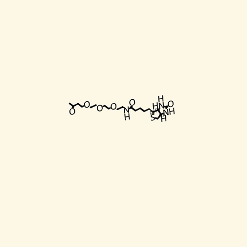 CC(=O)CCOCCOCCOCCNC(=O)CCCC[C@@H]1SC[C@@H]2NC(=O)N[C@@H]21